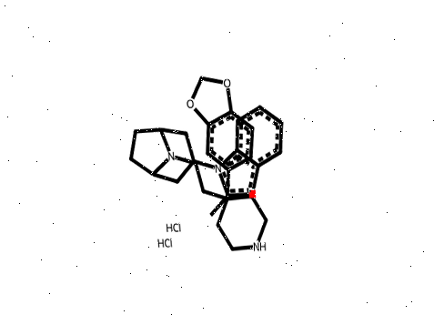 Cc1nc2ccccc2n1C1CC2CCC(C1)N2CCC1(c2ccc3c(c2)OCO3)CCNCC1.Cl.Cl